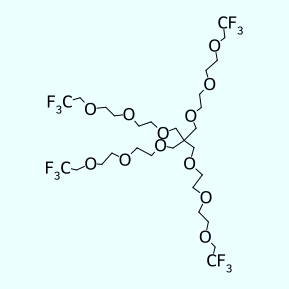 FC(F)(F)COCCOCCOCC(COCCOCCOCC(F)(F)F)(COCCOCCOCC(F)(F)F)COCCOCCOCC(F)(F)F